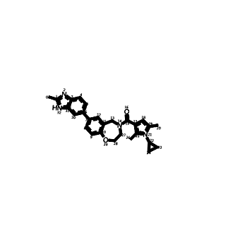 Cc1nc2ccc(-c3ccc4c(c3)CN(C(=O)c3cc(C)n(C5CC5)c3C)CCO4)cc2[nH]1